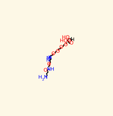 C[C@H]1[C@@H]2OC[C@](COCCOCCOCCOCCn3cc(COCCNC(=O)CCCN)nn3)(O2)[C@H](O)[C@@H]1O